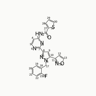 O=C(Nc1ccnc(-c2cc(-c3ccon3)n(Cc3ccccc3F)n2)n1)c1cccs1